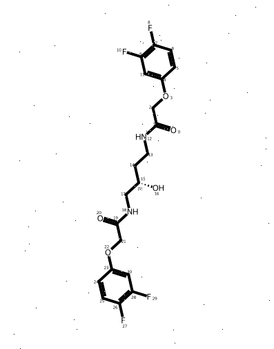 O=C(COc1ccc(F)c(F)c1)NCC[C@H](O)CNC(=O)COc1ccc(F)c(F)c1